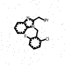 CC(C)Cc1nc2ccccc2n1Cc1c(F)cccc1Cl